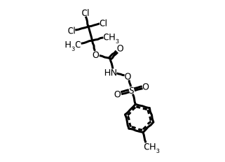 Cc1ccc(S(=O)(=O)ONC(=O)OC(C)(C)C(Cl)(Cl)Cl)cc1